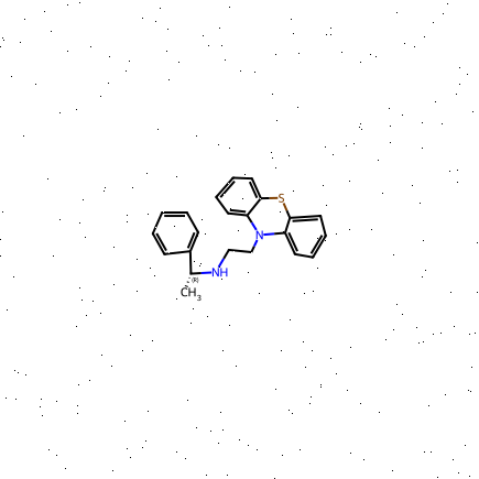 C[C@@H](NCCN1c2ccccc2Sc2ccccc21)c1ccccc1